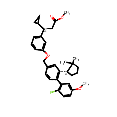 COC(=O)C[C@@H](c1cccc(OCc2ccc(-c3cc(OC)ccc3F)c([C@H]3CCCC3(C)C)c2)c1)C1CC1